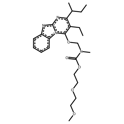 CCc1c(C(C)CC)nc2nc3ccccc3n2c1OCN(C)C(=O)OCCOCCOC